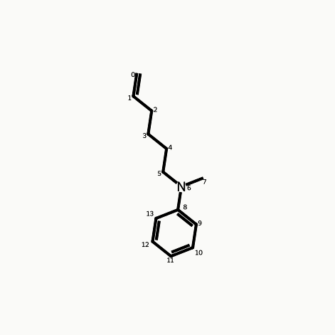 C=CCCCCN(C)c1ccccc1